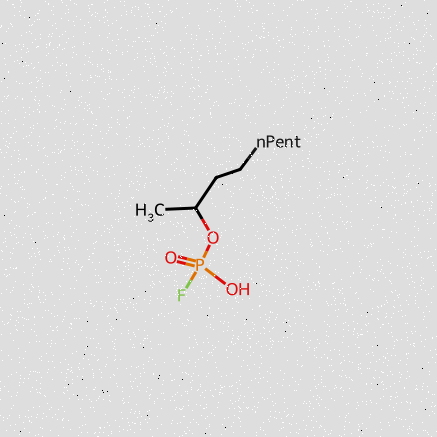 CCCCCCCC(C)OP(=O)(O)F